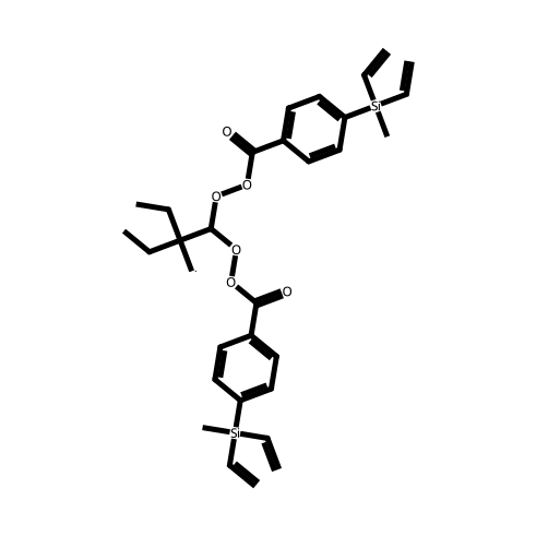 [CH2]C(CC)(CC)[C](OOC(=O)c1ccc([Si](C)(C=C)C=C)cc1)OOC(=O)c1ccc([Si](C)(C=C)C=C)cc1